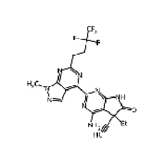 C#CC1(CC)C(=O)Nc2nc(-c3nc(CCC(F)(F)C(F)(F)F)nc4c3cnn4C)nc(N)c21